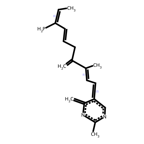 C=C(CC=C/C(P)=C\C)/C(C)=C/C=c1/cnc(C)nc1=C